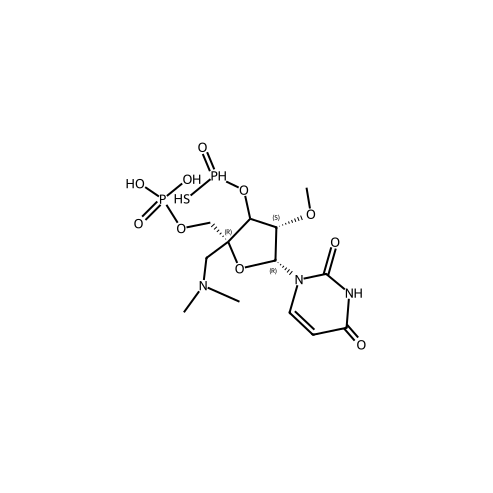 CO[C@H]1C(O[PH](=O)S)[C@](COP(=O)(O)O)(CN(C)C)O[C@H]1n1ccc(=O)[nH]c1=O